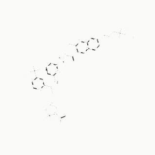 CC(C)(C)CCOc1ccc2cc(C(=O)NS(=O)(=O)c3cccc(NC(CC[C@@H]4CN(C(=O)O)C(C)(C)C4)c4cc(C(C)(C)C)ccn4)n3)c(Cl)nc2c1